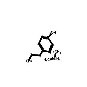 C[SiH2]C.Oc1ccc(CCCl)cc1